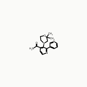 CC1(C)CN(c2c(C(N)=O)ccnc2-c2cccnc2)CCO1